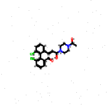 CC(=O)N1CCN(C(=O)/C=C/c2cc[c]c(Cl)c2-c2c(Cl)cccc2C=O)CC1